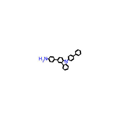 Nc1ccc(-c2ccc3c(c2)c2ccccc2n3-c2ccc(-c3ccccc3)cc2)cc1